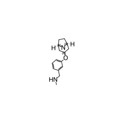 CNCc1cccc(O[C@H]2C[C@H]3CC[C@@H](C2)N3C)c1